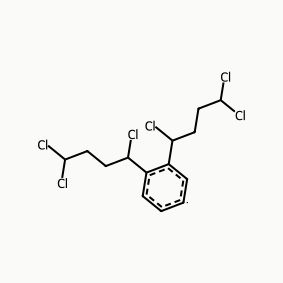 ClC(Cl)CCC(Cl)c1c[c]ccc1C(Cl)CCC(Cl)Cl